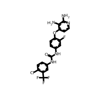 Nc1nccc(Oc2ccc(NC(=O)Nc3ccc(Cl)c(C(F)(F)F)c3)cc2F)c1N